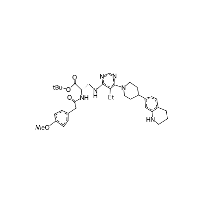 CCc1c(NC[C@H](NC(=O)Cc2ccc(OC)cc2)C(=O)OC(C)(C)C)ncnc1N1CCC(c2ccc3c(c2)NCCC3)CC1